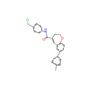 Cc1ccc(-c2ccc3c(c2)C=C(C(=O)Nc2ccc(CCl)cc2)CCO3)cc1